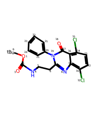 CC(C)(C)OC(=O)NCCc1nc2c(Cl)ccc(Cl)c2c(=O)n1-c1ccccc1